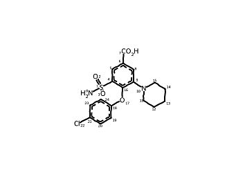 NS(=O)(=O)c1cc(C(=O)O)cc(N2CCCCC2)c1Oc1ccc(Cl)cc1